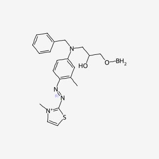 BOCC(O)CN(Cc1ccccc1)c1ccc(/N=N/c2scc[n+]2C)c(C)c1